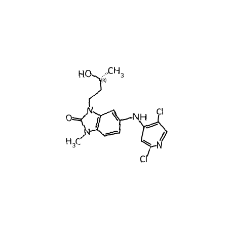 C[C@@H](O)CCn1c(=O)n(C)c2ccc(Nc3cc(Cl)ncc3Cl)cc21